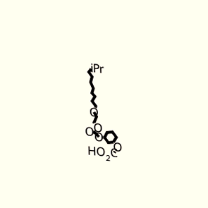 CC(C)CCCCCCCCOCCOC(=O)OC1CCCC(OC(=O)O)C1